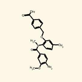 COc1cc(C(=O)N(C)c2ccc(C)cc2OCc2ccc(C(=O)O)cc2)ccc1N